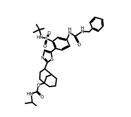 CC(C)NC(=O)OC12CCCC(C1)C(c1ncc(-c3ccc(NC(=O)NCc4ccccc4)cc3S(=O)(=O)NC(C)(C)C)s1)CC2